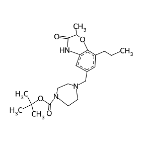 CCCc1cc(CN2CCN(C(=O)OC(C)(C)C)CC2)cc2c1OC(C)C(=O)N2